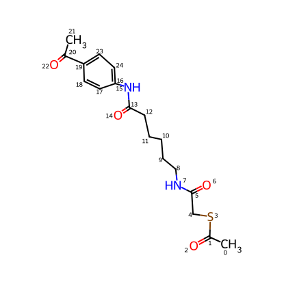 CC(=O)SCC(=O)NCCCCCC(=O)Nc1ccc(C(C)=O)cc1